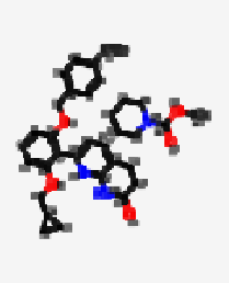 COc1ccc(COc2cccc(OCC3CC3)c2-c2cc([C@@H]3CCCN(C(=O)OC(C)(C)C)C3)c3c(n2)NC(=O)CC3)cc1